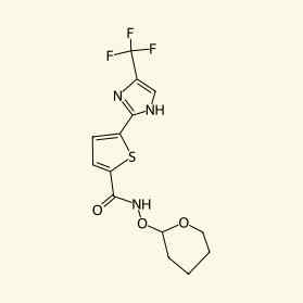 O=C(NOC1CCCCO1)c1ccc(-c2nc(C(F)(F)F)c[nH]2)s1